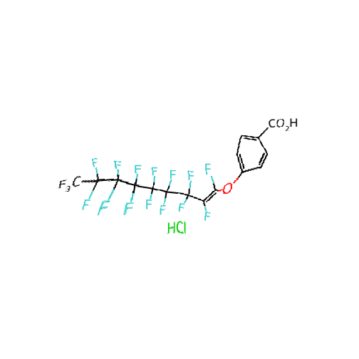 Cl.O=C(O)c1ccc(OC(F)=C(F)C(F)(F)C(F)(F)C(F)(F)C(F)(F)C(F)(F)C(F)(F)C(F)(F)F)cc1